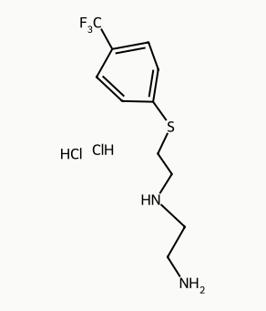 Cl.Cl.NCCNCCSc1ccc(C(F)(F)F)cc1